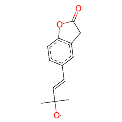 CC(C)([O])/C=C/c1ccc2c(c1)CC(=O)O2